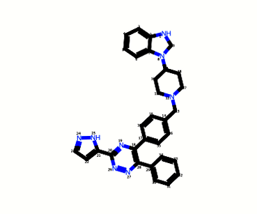 [CH]1Nc2ccccc2N1C1CCN(Cc2ccc(-c3nc(-c4ccn[nH]4)nnc3-c3ccccc3)cc2)CC1